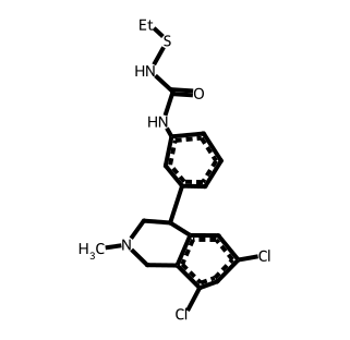 CCSNC(=O)Nc1cccc(C2CN(C)Cc3c(Cl)cc(Cl)cc32)c1